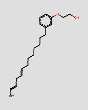 CCCC=CCC=CCCCCCCCc1cccc(OCCO)c1